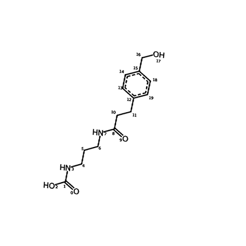 O=C(O)NCCCNC(=O)CCc1ccc(CO)cc1